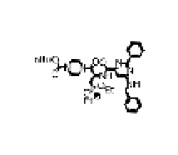 CCCCOC(=O)N1CCN(C(=O)C(CP(=O)(OCC)OCC)NC(=O)c2cc(NCc3ccccc3)nc(-c3ccccc3)n2)CC1